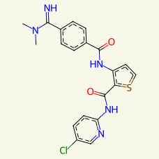 CN(C)C(=N)c1ccc(C(=O)Nc2ccsc2C(=O)Nc2ccc(Cl)cn2)cc1